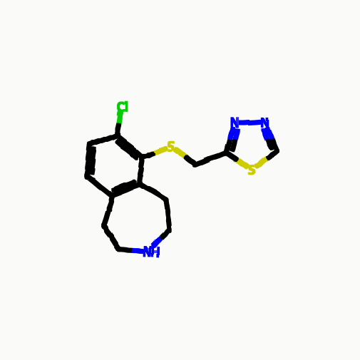 Clc1ccc2c(c1SCc1nncs1)CCNCC2